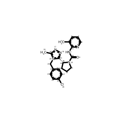 Cc1cccnc1NC(=O)N1CCC[C@@H]1c1nnc(C)n1Cc1ccc(Cl)cc1